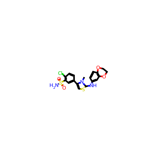 CN1C(c2ccc(Cl)c(S(N)(=O)=O)c2)=CSC1Nc1ccc2c(c1)OCCO2